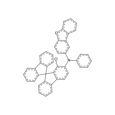 Clc1c(N(c2ccccc2)c2ccc3oc4ccccc4c3c2)ccc2c1C1(c3ccccc3-c3ccccc31)c1ccccc1-2